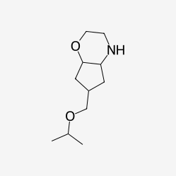 CC(C)OCC1CC2NCCOC2C1